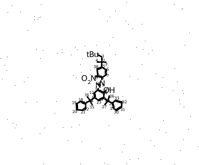 CC(C)(C)CC(C)(C)c1ccc(N=Nc2cc(C(C)(C)c3ccccc3)cc(C(C)(C)c3ccccc3)c2O)c([N+](=O)[O-])c1